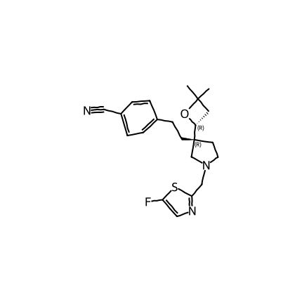 CC1(C)C[C@H]([C@]2(CCc3ccc(C#N)cc3)CCN(Cc3ncc(F)s3)C2)O1